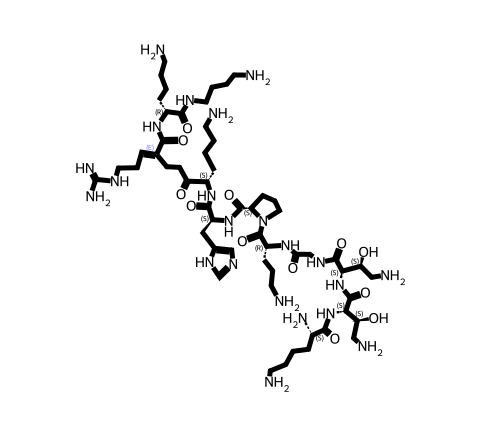 N=C(N)NCC/C=C(\CCC(=O)[C@H](CCCCN)NC(=O)[C@H](Cc1cnc[nH]1)NC(=O)[C@@H]1CCCN1C(=O)[C@@H](CCCN)NC(=O)CNC(=O)[C@@H](NC(=O)[C@@H](NC(=O)[C@@H](N)CCCCN)[C@@H](O)CN)[C@@H](O)CN)C(=O)N[C@H](CCCCN)C(=O)NCCCCN